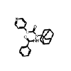 O=C(NN(C(=O)Oc1ccncc1)C12CC3CC(CC(C3)C1)C2)c1ccccc1